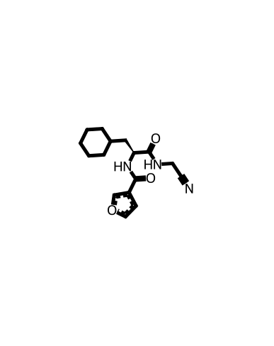 N#CCNC(=O)[C@H](CC1CCCCC1)NC(=O)c1ccoc1